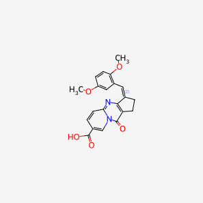 COc1ccc(OC)c(/C=C2/CCc3c2nc2ccc(C(=O)O)cn2c3=O)c1